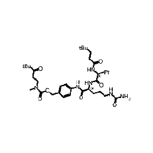 CC(C)[C@H](NC(=O)CCC(C)(C)C)C(=O)N[C@@H](CCCNC(N)=O)C(=O)Nc1ccc(COC(=O)N(C)CCC(=O)C(C)(C)C)cc1